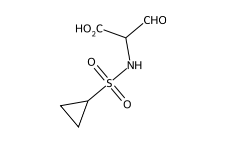 O=CC(NS(=O)(=O)C1CC1)C(=O)O